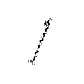 CCNCCOCCOCCOCCOCCOCCn1cc(C(C)C)nn1